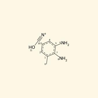 Cc1cccc(N)c1N.N#CO